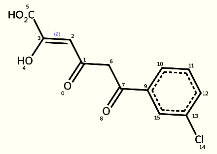 O=C(/C=C(\O)C(=O)O)CC(=O)c1cccc(Cl)c1